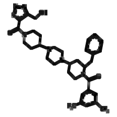 O=C(c1snnc1CO)N1CCC(N2CCN(C3CCN(C(=O)c4cc(C(F)(F)F)cc(C(F)(F)F)c4)C(Cc4ccccc4)C3)CC2)CC1